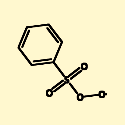 [O]OS(=O)(=O)c1ccccc1